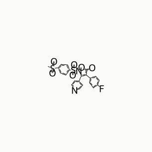 CS(=O)(=O)c1ccc(S(=O)(=O)n2oc(=O)c(-c3ccc(F)cc3)c2-c2ccncc2)cc1